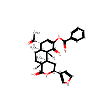 COC(=O)[C@@H]1C=C(OC(=O)c2ccccc2)C(=O)[C@H]2[C@@]1(C)CC[C@H]1C(=O)O[C@H](c3ccoc3)C[C@]21C